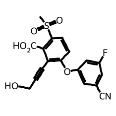 CS(=O)(=O)c1ccc(Oc2cc(F)cc(C#N)c2)c(C#CCO)c1C(=O)O